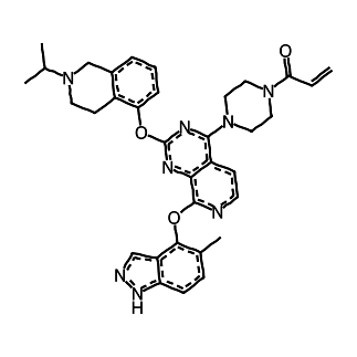 C=CC(=O)N1CCN(c2nc(Oc3cccc4c3CCN(C(C)C)C4)nc3c(Oc4c(C)ccc5[nH]ncc45)nccc23)CC1